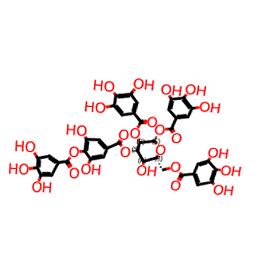 O=C(OC[C@H]1O[C@@H](OC(=O)c2cc(O)c(O)c(O)c2)[C@H](OC(=O)c2cc(O)c(O)c(O)c2)[C@@H](OC(=O)c2cc(O)c(OC(=O)c3cc(O)c(O)c(O)c3)c(O)c2)[C@@H]1O)c1cc(O)c(O)c(O)c1